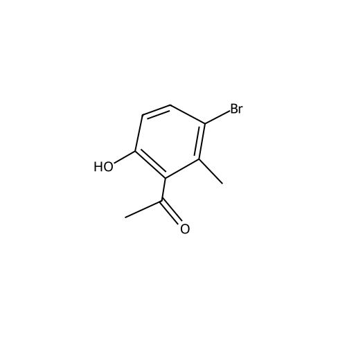 CC(=O)c1c(O)ccc(Br)c1C